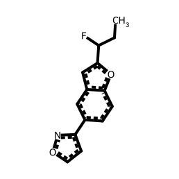 CCC(F)c1cc2cc(-c3ccon3)ccc2o1